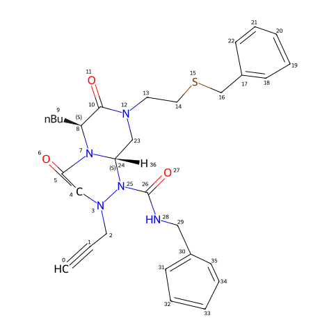 C#CCN1CC(=O)N2[C@@H](CCCC)C(=O)N(CCSCc3ccccc3)C[C@@H]2N1C(=O)NCc1ccccc1